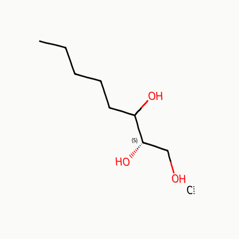 CCCCCC(O)[C@@H](O)CO.[C]